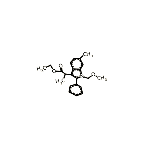 CCOC(=O)C(C)c1c(-c2ccccc2)n(COC)c2cc(C)ccc12